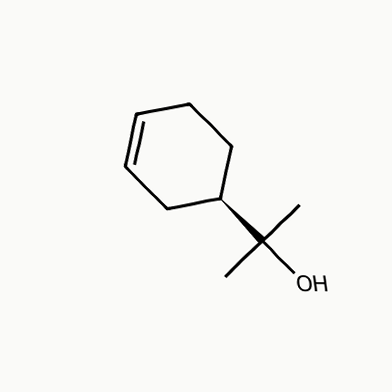 CC(C)(O)[C@H]1CC=CCC1